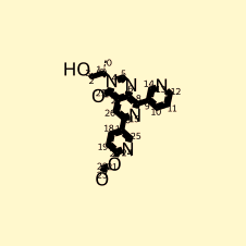 C[C@@H](CO)n1cnc2c(-c3cccnc3)nc(-c3ccc(OC=O)nc3)cc2c1=O